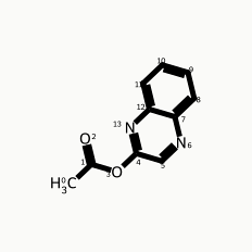 CC(=O)Oc1cnc2ccccc2n1